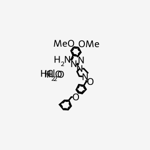 COc1cc2nc(N3CCN(C(=O)c4ccc(OCc5ccccc5)cc4)CC3)nc(N)c2cc1OC.Cl.O.O